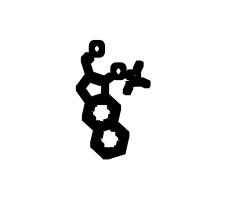 C[Si](C)(C)OC1=C(C=O)Cc2cc3ccccc3cc21